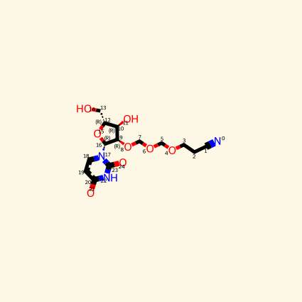 N#CCCOCOCO[C@@H]1[C@H](O)[C@@H](CO)O[C@H]1n1ccc(=O)[nH]c1=O